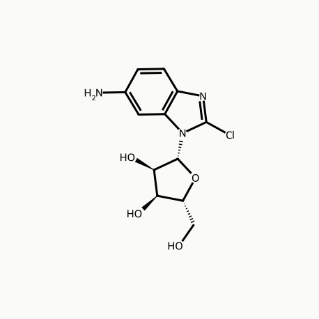 Nc1ccc2nc(Cl)n([C@@H]3O[C@H](CO)[C@@H](O)[C@H]3O)c2c1